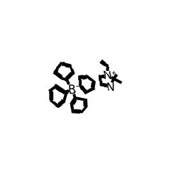 C=C[N+]1=CC=NC1(C)C.c1ccc([B-](c2ccccc2)(c2ccccc2)c2ccccc2)cc1